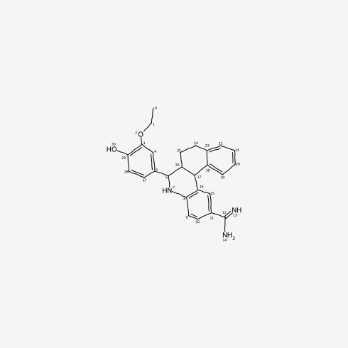 CCOc1cc(C2Nc3ccc(C(=N)N)cc3C3c4ccccc4CCC23)ccc1O